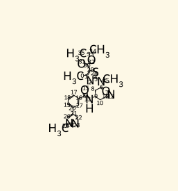 Cc1nc(N(C)C(=O)C[C@@H](CC#N)NC(=O)c2cccc(-c3cnn(C)c3)c2)sc1C(=O)OC(C)C